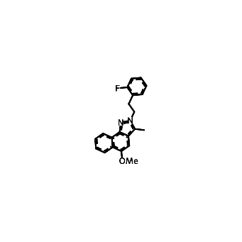 COc1cc2c(C)n(CCc3ccccc3F)nc2c2ccccc12